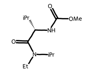 CCN(C(=O)[C@@H](NC(=O)OC)C(C)C)C(C)C